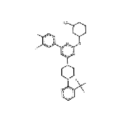 CN1CCCC(Oc2nc(-c3ccc(F)c(Cl)c3)cc(N3CCN(c4ncccc4C(F)(F)F)CC3)n2)C1